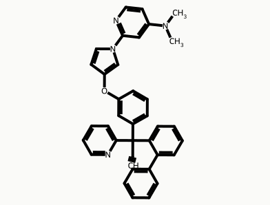 C#CC(c1cccc(Oc2ccn(-c3cc(N(C)C)ccn3)c2)c1)(c1ccccn1)c1ccccc1-c1ccccc1